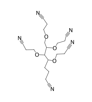 N#CCCCC(OCCC#N)C(OCCC#N)C(COCCC#N)OCCC#N